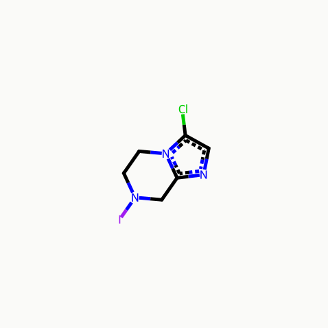 Clc1cnc2n1CCN(I)C2